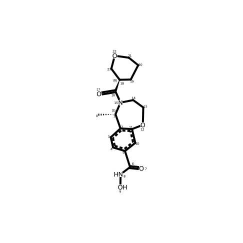 C[C@H]1c2ccc(C(=O)NO)cc2OCCN1C(=O)[C@@H]1CCCOC1